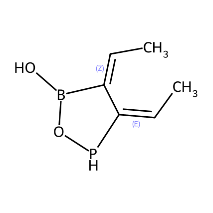 C/C=C1/B(O)OP/C1=C/C